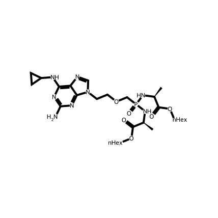 CCCCCCOC(=O)[C@H](C)NP(=O)(COCCn1cnc2c(NC3CC3)nc(N)nc21)N[C@@H](C)C(=O)OCCCCCC